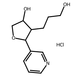 Cl.OCCCC1C(O)COC1c1cccnc1